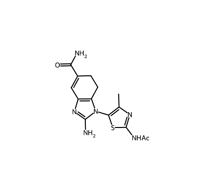 CC(=O)Nc1nc(C)c(-n2c(N)nc3c2CCC(C(N)=O)=C3)s1